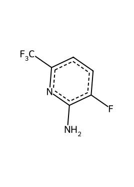 Nc1nc(C(F)(F)F)ccc1F